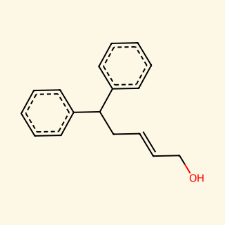 OCC=CCC(c1ccccc1)c1ccccc1